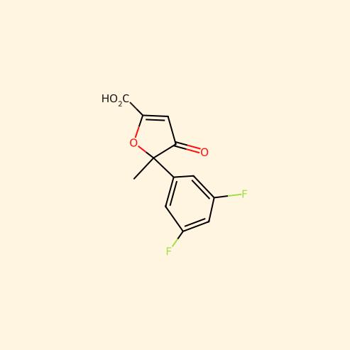 CC1(c2cc(F)cc(F)c2)OC(C(=O)O)=CC1=O